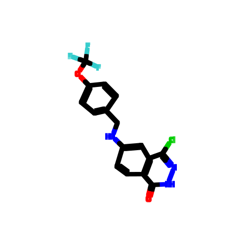 O=c1[nH]nc(Cl)c2cc(NCc3ccc(OC(F)(F)F)cc3)ccc12